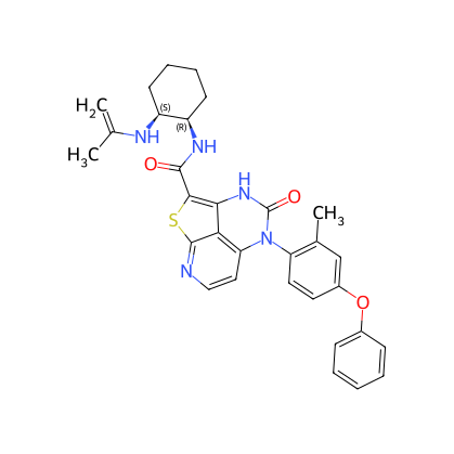 C=C(C)N[C@H]1CCCC[C@H]1NC(=O)c1sc2nccc3c2c1NC(=O)N3c1ccc(Oc2ccccc2)cc1C